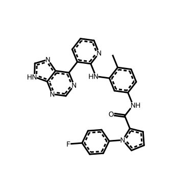 Cc1ccc(NC(=O)c2cccn2-c2ccc(F)cc2)cc1Nc1ncccc1-c1ncnc2[nH]cnc12